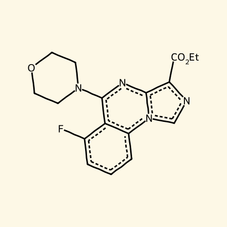 CCOC(=O)c1ncn2c1nc(N1CCOCC1)c1c(F)cccc12